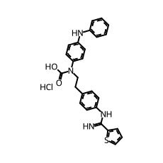 Cl.N=C(Nc1ccc(CCN(C(=O)O)c2ccc(Nc3ccccc3)cc2)cc1)c1cccs1